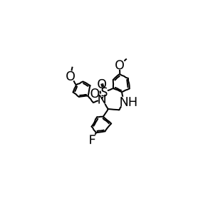 COc1ccc(CN2C(c3ccc(F)cc3)CNc3ccc(OC)cc3S2(=O)=O)cc1